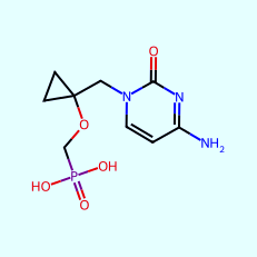 Nc1ccn(CC2(OCP(=O)(O)O)CC2)c(=O)n1